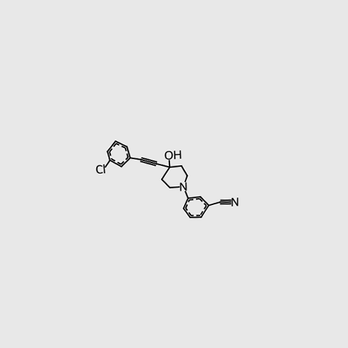 N#Cc1cccc(N2CCC(O)(C#Cc3cccc(Cl)c3)CC2)c1